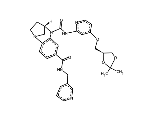 CC1(C)OC[C@H](COc2ccnc(NC(=O)N3c4nc(C(=O)NCc5cccnc5)ccc4N4CC[C@H]3C4)c2)O1